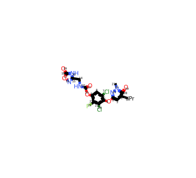 CC(C)c1cc(Oc2c(Cl)cc(OC(=O)NCc3noc(=O)[nH]3)c(F)c2Cl)nn(C)c1=O